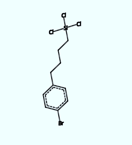 Cl[Si](Cl)(Cl)CCCCc1ccc(Br)cc1